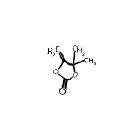 C=C1OC(=O)OC1(C)C